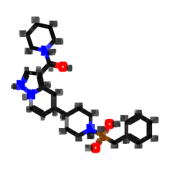 O=C(c1cnn2ccc(C3CCN(S(=O)(=O)Cc4ccccc4)CC3)cc12)N1CCCCC1